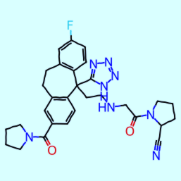 N#CC1CCCN1C(=O)CNCCC1(c2nnn[nH]2)c2ccc(F)cc2CCc2cc(C(=O)N3CCCC3)ccc21